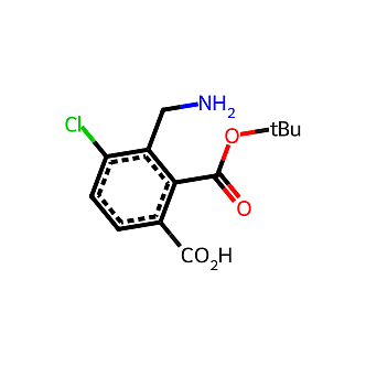 CC(C)(C)OC(=O)c1c(C(=O)O)ccc(Cl)c1CN